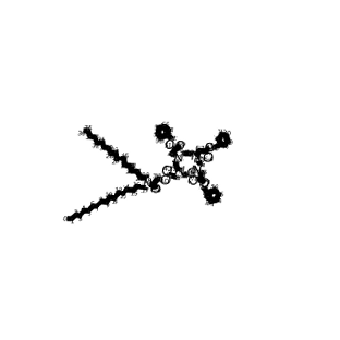 CCCCCCCCCCCCCCCCCCN(CCCCCCCCCCCCCCCCCC)C(=O)COC(=O)CN1CCN(CC(=O)OCc2ccccc2)CCN(CC(=O)OCc2ccccc2)CCN(CC(=O)OCc2ccccc2)CC1